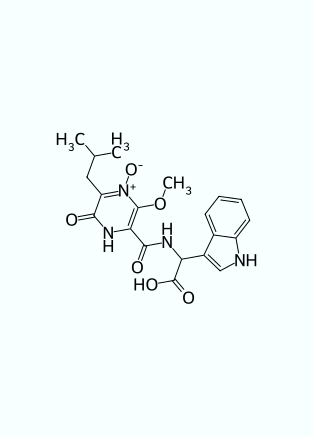 COc1c(C(=O)NC(C(=O)O)c2c[nH]c3ccccc23)[nH]c(=O)c(CC(C)C)[n+]1[O-]